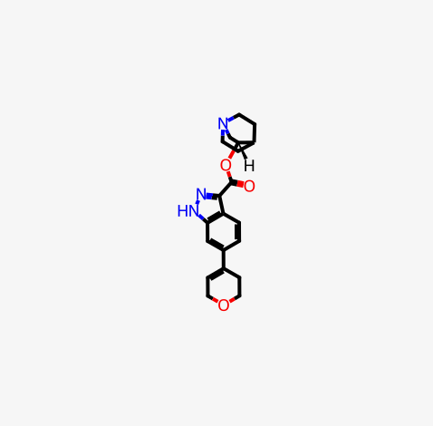 O=C(O[C@@H]1CN2CCC1CC2)c1n[nH]c2cc(C3=CCOCC3)ccc12